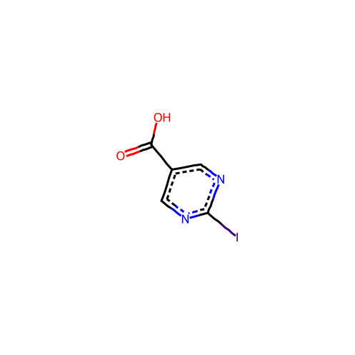 O=C(O)c1cnc(I)nc1